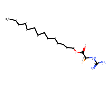 CCCCCCCCCCCCCCOC(=O)C(P)NC(=N)N